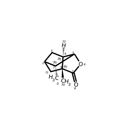 C[C@@H]1C2C[C@H]3C1OC(=O)[C@]3(C)C2